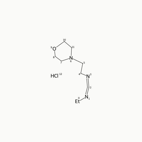 CCN=C=NCCN1CCOCC1.Cl